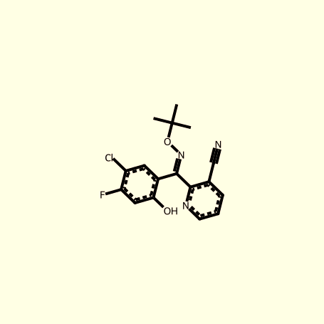 CC(C)(C)ON=C(c1cc(Cl)c(F)cc1O)c1ncccc1C#N